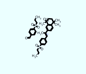 CCCS(=O)(=O)c1ccc(/C=C(\C)c2ccc3c(c2)C(C)(C)CCC3(C)C)cc1.CCCS(=O)(=O)c1ccc(C=O)cc1